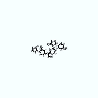 Cn1ncnc1-c1ccc(-c2cnn3ccc(N4C(=O)OC[C@@H]4c4ccc(F)cn4)nc23)cc1F